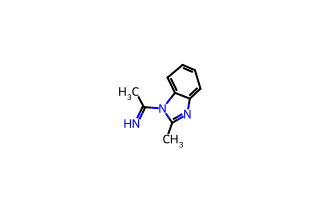 CC(=N)n1c(C)nc2ccccc21